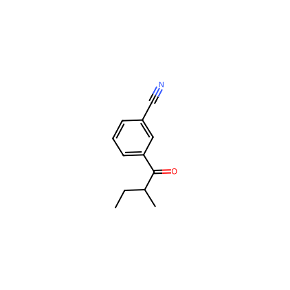 CCC(C)C(=O)c1cccc(C#N)c1